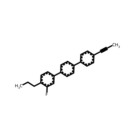 CC#Cc1ccc(-c2ccc(-c3ccc(CCC)c(F)c3)cc2)cc1